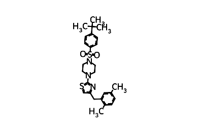 Cc1ccc(C)c(Cc2csc(N3CCN(S(=O)(=O)c4ccc(C(C)(C)C)cc4)CC3)n2)c1